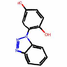 Oc1ccc(O)c(-n2nnc3ccccc32)c1